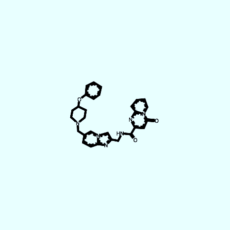 O=C(NCc1cn2cc(CN3CCC(Oc4ccccc4)CC3)ccc2n1)c1cc(=O)n2ccccc2n1